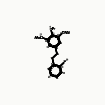 CCCc1c(OC)cc(CCc2ccccc2F)cc1OC